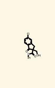 CC(C)OC(=O)C1(CO)Cc2cc(Cl)ccc2C1=O